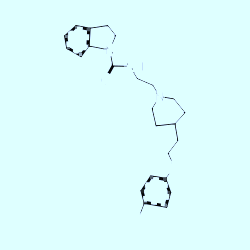 O=C(NCCN1CCC(CCOc2ccc(F)cc2)CC1)N1CCc2ccccc21